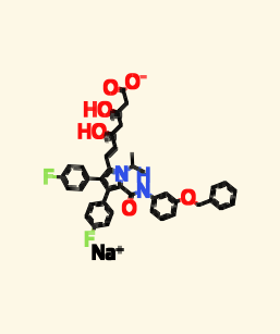 CC(C)n1c(C=C[C@@H](O)C[C@@H](O)CC(=O)[O-])c(-c2ccc(F)cc2)c(-c2ccc(F)cc2)c1C(=O)Nc1cccc(OCc2ccccc2)c1.[Na+]